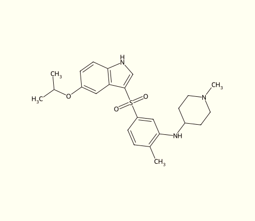 Cc1ccc(S(=O)(=O)c2c[nH]c3ccc(OC(C)C)cc23)cc1NC1CCN(C)CC1